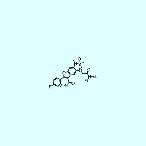 CCN(CC)C(=O)COc1cc2c(C(=O)NC)c(-c3ccc(F)cc3)oc2cc1N(C)S(C)(=O)=O